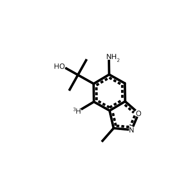 [3H]c1c(C(C)(C)O)c(N)cc2onc(C)c12